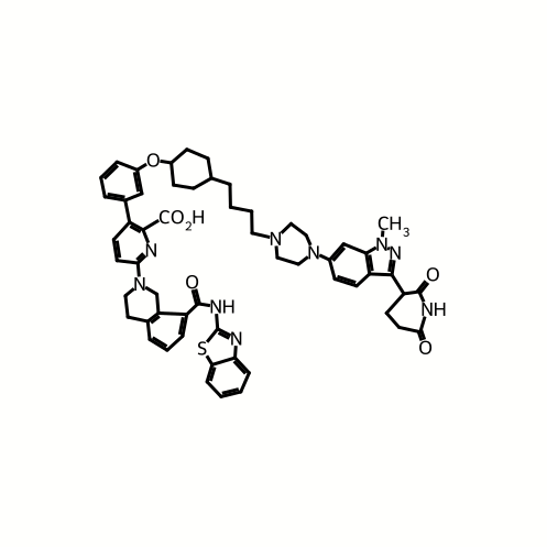 Cn1nc(C2CCC(=O)NC2=O)c2ccc(N3CCN(CCCCC4CCC(Oc5cccc(-c6ccc(N7CCc8cccc(C(=O)Nc9nc%10ccccc%10s9)c8C7)nc6C(=O)O)c5)CC4)CC3)cc21